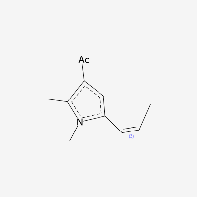 C/C=C\c1cc(C(C)=O)c(C)n1C